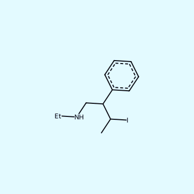 CCNCC(c1ccccc1)C(C)I